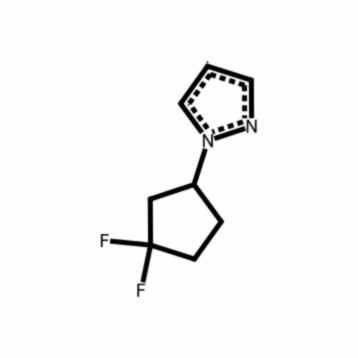 FC1(F)CCC(n2c[c]cn2)C1